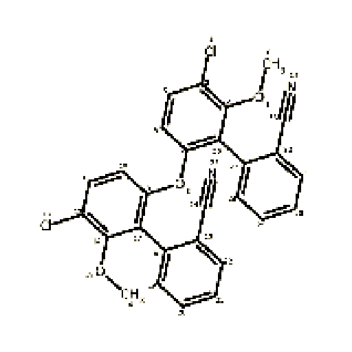 COc1c(Cl)ccc(Oc2ccc(Cl)c(OC)c2-c2ccccc2C#N)c1-c1ccccc1C#N